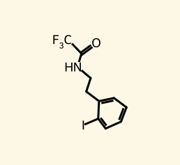 O=C(NCCc1ccccc1I)C(F)(F)F